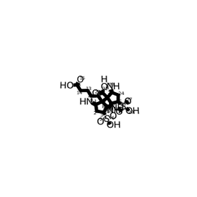 N=C1CC(S(=O)(=O)O)C(=N)C1(CCCCC(=O)O)C1(C(=O)O)C(=N)CC(S(=O)(=O)O)C1=N